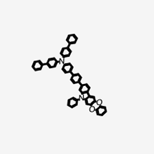 c1ccc(-c2ccc(N(c3ccc(-c4ccccc4)cc3)c3ccc(-c4ccc(-c5ccc6c7cc8c(cc7n(-c7ccccc7)c6c5)Oc5ccccc5O8)cc4)cc3)cc2)cc1